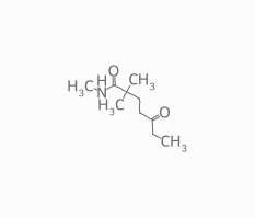 CCC(=O)CCC(C)(C)C(=O)NC